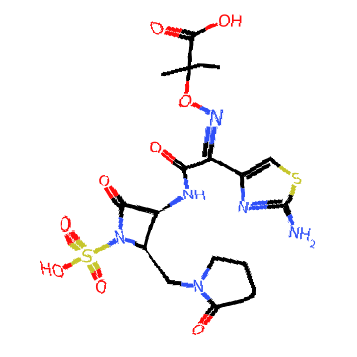 CC(C)(O/N=C(\C(=O)N[C@@H]1C(=O)N(S(=O)(=O)O)[C@@H]1CN1CCCC1=O)c1csc(N)n1)C(=O)O